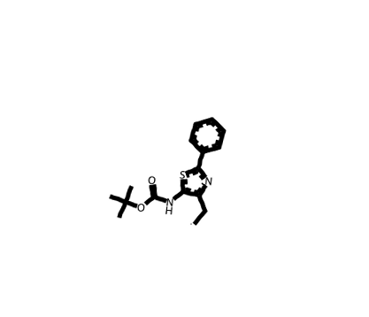 [CH2]Cc1nc(-c2ccccc2)sc1NC(=O)OC(C)(C)C